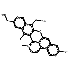 Cc1c2c(c(CC(C)(C)C)c3ccc(CC(C)(C)C)cc13)Oc1cc3cc(C(C)C)ccc3c3cc[n+](C)c-2c13